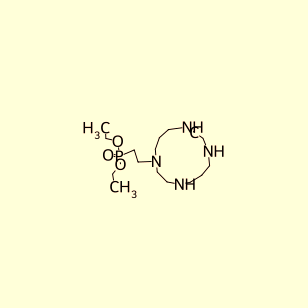 CCOP(=O)(CCN1CCCNCCNCCCNCC1)OCC